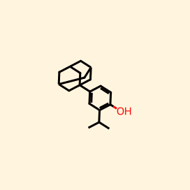 CC(C)c1cc(C23CC4CC(CC(C4)C2)C3)ccc1O